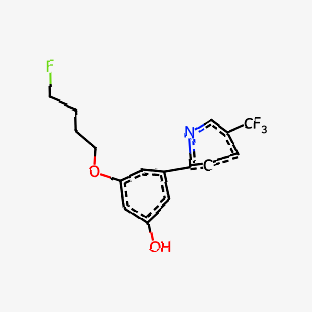 Oc1cc(OCCCCF)cc(-c2ccc(C(F)(F)F)cn2)c1